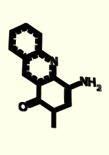 CC1C=C(N)c2nc3ccccc3cc2C1=O